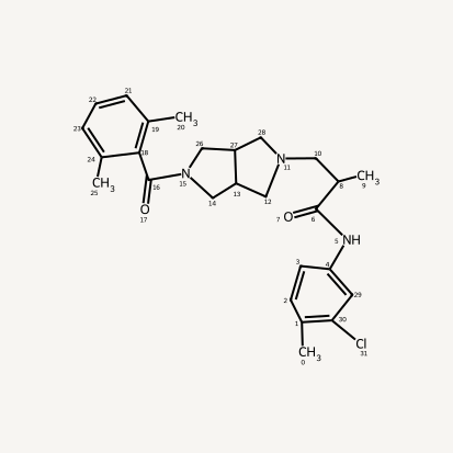 Cc1ccc(NC(=O)C(C)CN2CC3CN(C(=O)c4c(C)cccc4C)CC3C2)cc1Cl